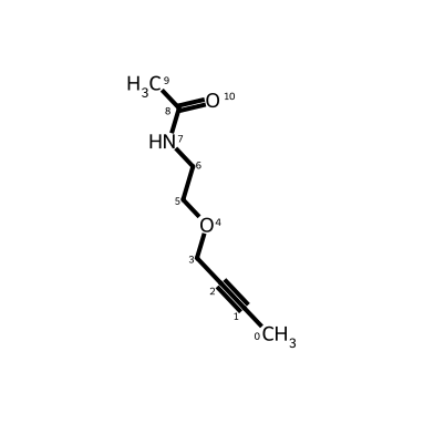 CC#CCOCCNC(C)=O